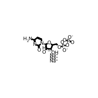 Nc1ccn([C@@H]2OC(COP(=O)([O-])OP(=O)([O-])[O-])[C@@H](O)C2O)c(=O)n1.[Na+].[Na+].[Na+]